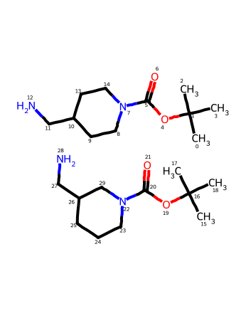 CC(C)(C)OC(=O)N1CCC(CN)CC1.CC(C)(C)OC(=O)N1CCCC(CN)C1